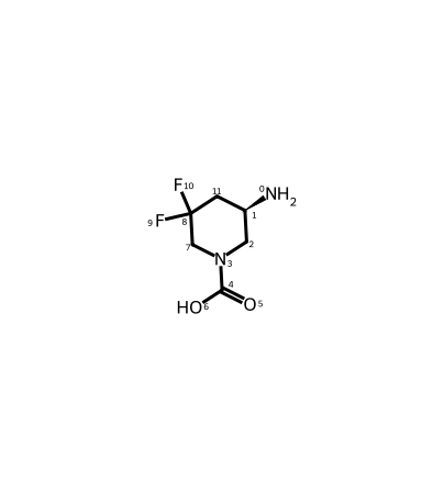 N[C@H]1CN(C(=O)O)CC(F)(F)C1